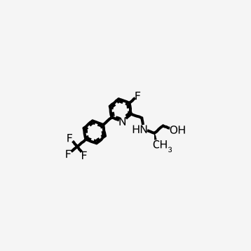 C[C@H](CO)NCc1nc(-c2ccc(C(F)(F)F)cc2)ccc1F